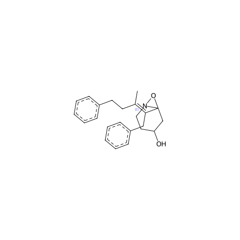 C/C(CCc1ccccc1)=C(/Cc1ccccc1)C12CC(O)CCN1O2